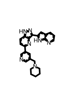 c1cnc2[nH]c(-c3n[nH]c4ccc(-c5cncc(CN6CCCCC6)c5)nc34)cc2c1